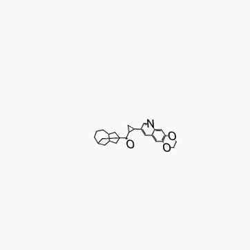 O=C(C1CC1c1cnc2cc3c(cc2c1)OCCO3)C12CC3CCCC(C1)C(C3)C2